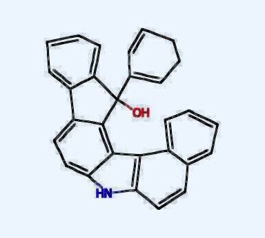 OC1(C2=CCCC=C2)c2ccccc2-c2ccc3[nH]c4ccc5ccccc5c4c3c21